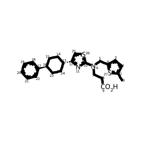 Cc1ccc(CN(CCC(=O)O)c2nc([C@H]3CC[C@H](c4ccccc4)CC3)cs2)s1